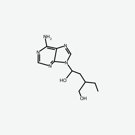 CCC(CO)CC(O)n1cnc2c(N)ncnc21